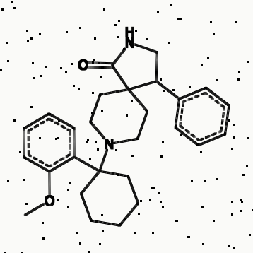 COc1ccccc1C1(N2CCC3(CC2)C(=O)NCC3c2ccccc2)CCCCC1